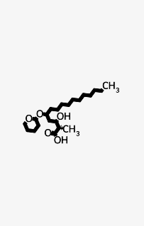 CCCCCCCCCCCC(CC(O)[C@@H](C)C(=O)O)OC1CCCCO1